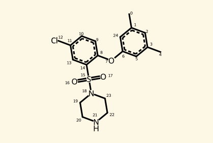 Cc1cc(C)cc(Oc2ccc(Cl)cc2S(=O)(=O)N2CCNCC2)c1